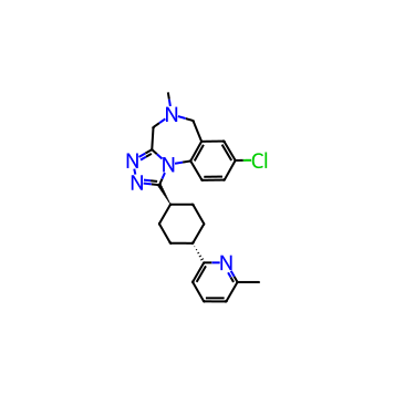 Cc1cccc([C@H]2CC[C@H](c3nnc4n3-c3ccc(Cl)cc3CN(C)C4)CC2)n1